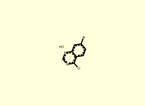 Cl.Clc1ncnc2cc(Br)ccc12